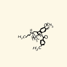 CCCCNC(=O)Cc1c(C)n(C(=O)c2ccc(C)cc2)c2cc(F)c(OC)cc12